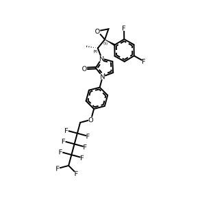 C[C@@H](n1ccn(-c2ccc(OCC(F)(F)C(F)(F)C(F)(F)C(F)F)cc2)c1=O)[C@@]1(c2ccc(F)cc2F)CO1